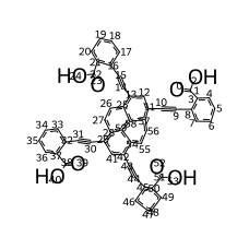 O=C(O)c1ccccc1C#Cc1cc(C#Cc2ccccc2C(=O)O)c2ccc3c(C#Cc4ccccc4C(=O)O)cc(C#Cc4ccccc4C(=O)O)c4ccc1c2c43